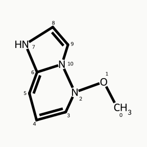 CON1C=CC=C2NC=CN21